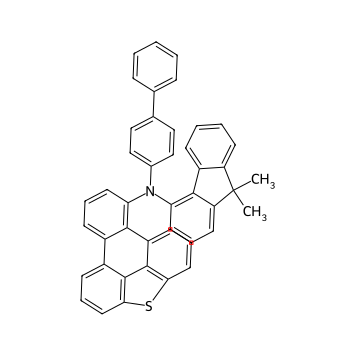 CC1(C)c2ccccc2-c2c(N(c3ccc(-c4ccccc4)cc3)c3cccc4c5cccc6sc7cccc(c34)c7c65)cccc21